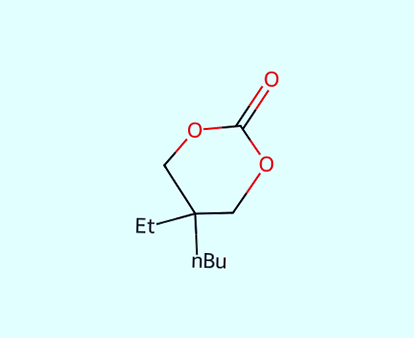 CCCCC1(CC)COC(=O)OC1